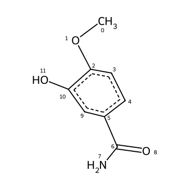 COc1ccc(C(N)=O)cc1O